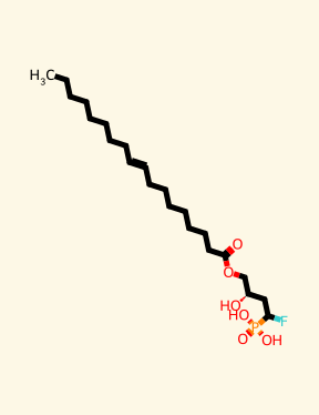 CCCCCCCCC=CCCCCCCCC(=O)OC[C@@H](O)CC(F)P(=O)(O)O